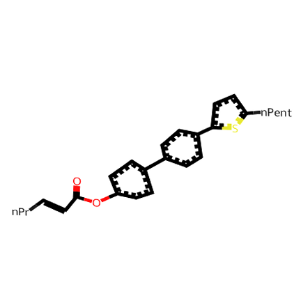 CCCC=CC(=O)Oc1ccc(-c2ccc(-c3ccc(CCCCC)s3)cc2)cc1